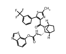 Cc1nc(C(=O)N2[C@@H]3CC[C@@H](C3)[C@@H]2CNC(=O)Oc2cccc3ncsc23)c(-c2cccc(C(F)(F)F)c2)s1